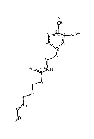 COc1cc(CCNC(=O)CCCC/C=C/C(C)C)ccc1O